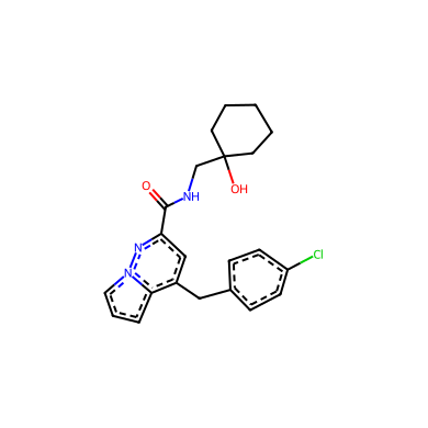 O=C(NCC1(O)CCCCC1)c1cc(Cc2ccc(Cl)cc2)c2cccn2n1